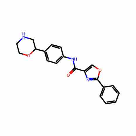 O=C(Nc1ccc(C2CNCCO2)cc1)c1coc(-c2ccccc2)n1